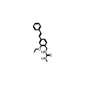 CCOc1cc(/C=C/c2ccccc2)ccc1CNC(=S)NC